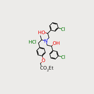 CCOC(=O)COc1ccc(CC(C)N(CC(O)c2cccc(Cl)c2)CC(O)c2cccc(Cl)c2)cc1.Cl